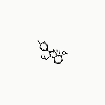 COc1cccc2c(C=O)c(-c3ccc(C)cc3)[nH]c12